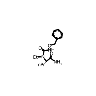 CCC[C@@H](C(N)=O)N(CC)C(=O)NOCc1ccccc1